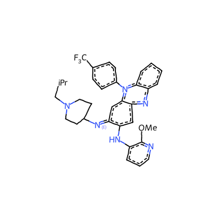 COc1ncccc1Nc1cc2nc3ccccc3n(-c3ccc(C(F)(F)F)cc3)c-2c/c1=N\C1CCN(CC(C)C)CC1